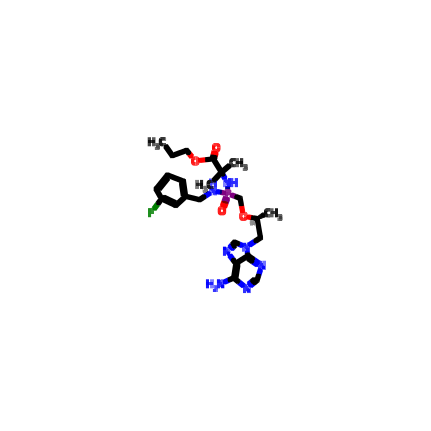 CCCOC(=O)C(C)(C)NP(=O)(CO[C@@H](C)Cn1cnc2c(N)ncnc21)NCc1cccc(F)c1